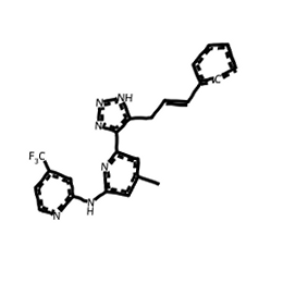 Cc1cc(Nc2cc(C(F)(F)F)ccn2)nc(-c2nn[nH]c2CC=Cc2ccccc2)c1